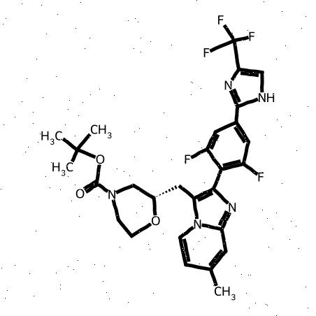 Cc1ccn2c(C[C@H]3CN(C(=O)OC(C)(C)C)CCO3)c(-c3c(F)cc(-c4nc(C(F)(F)F)c[nH]4)cc3F)nc2c1